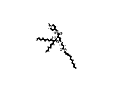 CCCCCCCC#CCOC(=O)CCSCCC(NC(=O)C(CCCCCC)CCCCCCCC)C(=O)NCC1CCN(C)CC1